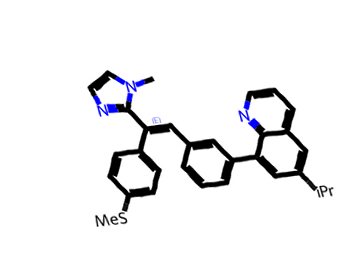 CSc1ccc(/C(=C\c2cccc(-c3cc(C(C)C)cc4cccnc34)c2)c2nccn2C)cc1